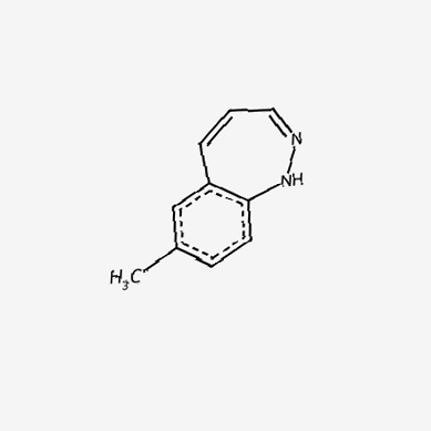 Cc1ccc2c(c1)C=CC=NN2